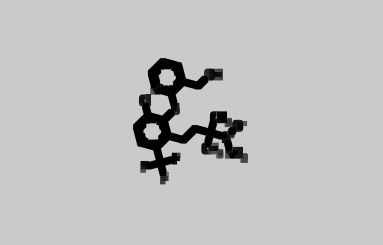 CC(C)(CCc1c(C(F)(F)F)ccc(Cl)c1Sc1ncccc1CO)[S+](N)[O-]